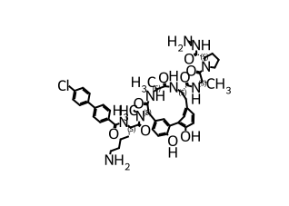 C[C@@H]1NC(=O)[C@@H](N(C)C(=O)[C@H](CCCCN)NC(=O)c2ccc(-c3ccc(Cl)cc3)cc2)c2ccc(O)c(c2)-c2cc(ccc2O)C[C@@H](C(=O)N[C@@H](C)C(=O)N2CCC[C@H]2C(=O)NN)NC1=O